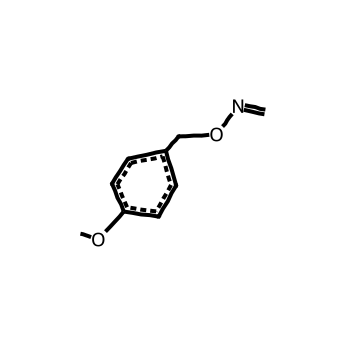 C=NOCc1ccc(OC)cc1